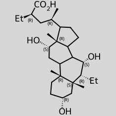 CC[C@H](C[C@@H](C)C1CCC2C3C(C[C@H](O)[C@@]21C)[C@@]1(C)CC[C@@H](O)C[C@@]1(C)[C@@H](CC)[C@H]3O)C(=O)O